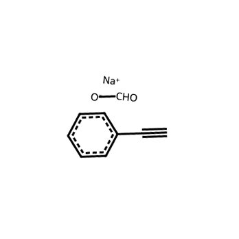 C#Cc1ccccc1.O=C[O-].[Na+]